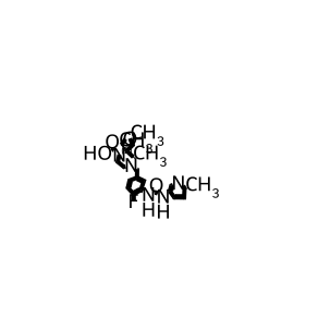 CC[C@@]1(COC)C(C)N(Cc2ccc(F)c(NC(=O)Nc3ccc(C)nc3)c2)CCN1C(=O)O